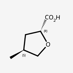 C[C@@H]1CO[C@@H](C(=O)O)C1